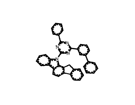 c1ccc(-c2cccc(-c3nc(-c4ccccc4)nc(-n4c5ccccc5c5ccc6c(c54)Cc4ccccc4-6)n3)c2)cc1